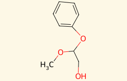 COC(CO)Oc1ccccc1